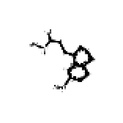 CCCNC(CC)CCc1cccc2ccc(OC)cc12